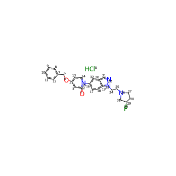 Cl.O=c1cc(OCc2ccccc2)ccn1-c1ccc2c(cnn2CCN2CC[C@@H](F)C2)c1